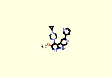 COc1cnc2[nH]c3cnc(-c4cccnc4)cc3c2c1N1CCN(C2CC2)CC1